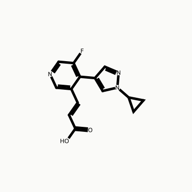 O=C(O)C=Cc1cncc(F)c1-c1cnn(C2CC2)c1